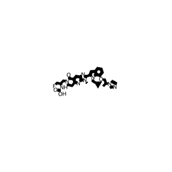 CC(COc1cccc2cc(-c3nc4cc5c(nc4n3C)CCN(CC(CF)NC(=O)O)C5=O)n(CC3CC3)c12)n1ccnc1